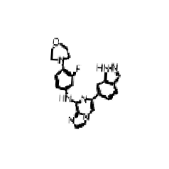 Fc1cc(Nc2nc(-c3ccc4cn[nH]c4c3)cn3ccnc23)ccc1N1CCOCC1